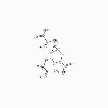 C=C(C)C(=O)O.C=C(C)C(=O)O.O=C(O)C1CCC2OC2C1